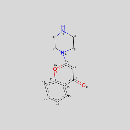 O=c1cc(N2CCNCC2)oc2ccccc12